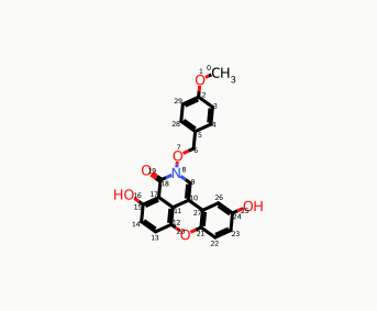 COc1ccc(COn2cc3c4c(ccc(O)c4c2=O)Oc2ccc(O)cc2-3)cc1